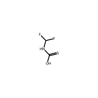 OC(=S)NC(F)F